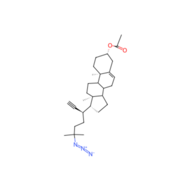 C#C[C@H](CCC(C)(C)N=[N+]=[N-])[C@H]1CCC2C3CC=C4C[C@@H](OC(C)=O)CC[C@]4(C)C3CC[C@@]21C